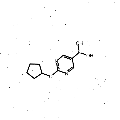 OB(O)c1cnc(OC2CCCC2)nc1